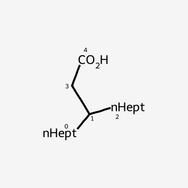 CCCCCCCC(CCCCCCC)CC(=O)O